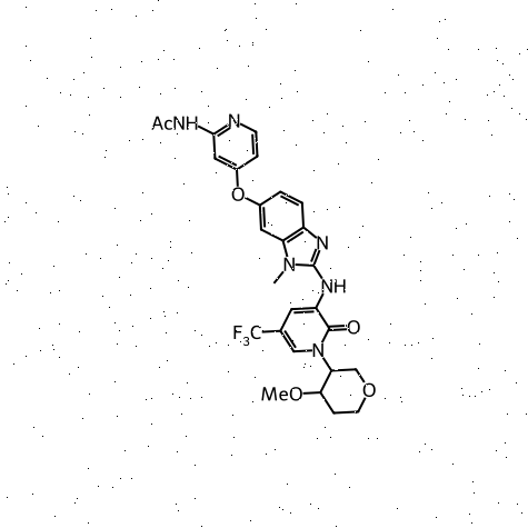 COC1CCOCC1n1cc(C(F)(F)F)cc(Nc2nc3ccc(Oc4ccnc(NC(C)=O)c4)cc3n2C)c1=O